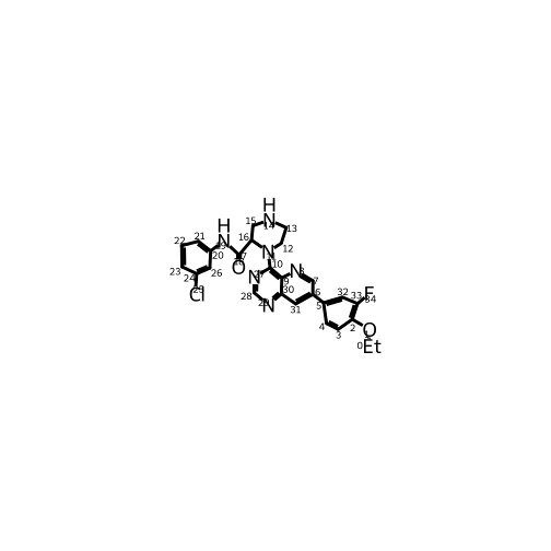 CCOc1ccc(-c2cnc3c(N4CCNCC4C(=O)Nc4cccc(Cl)c4)ncnc3c2)cc1F